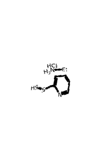 CCN.Cl.SSc1ccccn1